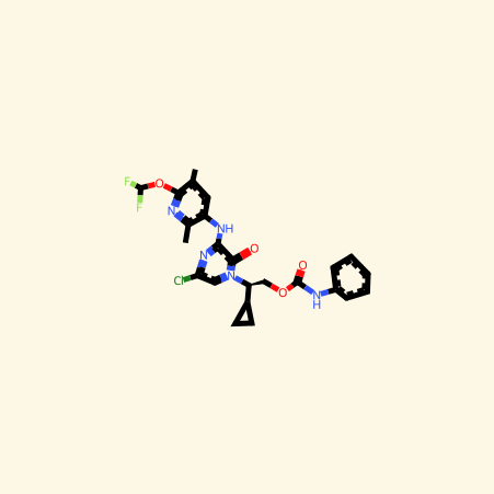 Cc1cc(Nc2nc(Cl)cn([C@@H](COC(=O)Nc3ccccc3)C3CC3)c2=O)c(C)nc1OC(F)F